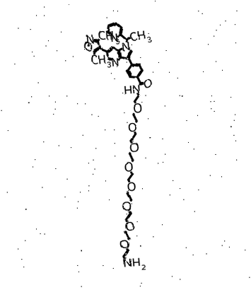 Cc1noc(C)c1-c1cnc2c(-c3ccc(C(=O)NCCOCCOCCOCCOCCOCCOCCOCCOCCN)cc3)cn(C(C)c3ccccn3)c2c1